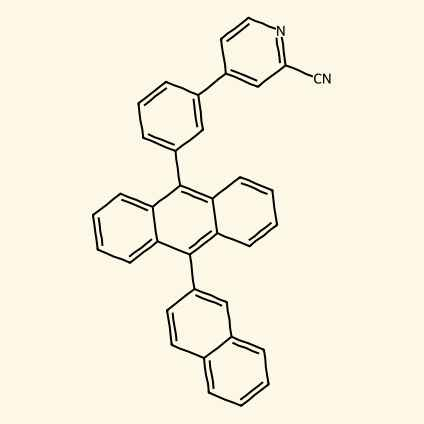 N#Cc1cc(-c2cccc(-c3c4ccccc4c(-c4ccc5ccccc5c4)c4ccccc34)c2)ccn1